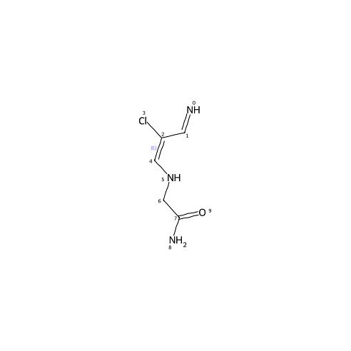 N=C/C(Cl)=C\NCC(N)=O